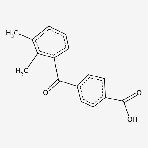 Cc1cccc(C(=O)c2ccc(C(=O)O)cc2)c1C